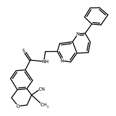 CC1(C#N)COCc2ccc(C(=S)NCc3cc4nc(-c5ccccc5)ccc4cn3)cc21